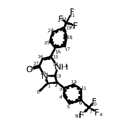 CC1C(c2ccc(C(F)(F)F)cc2)C2NC(c3ccc(C(F)(F)F)cc3)=CC(=O)N12